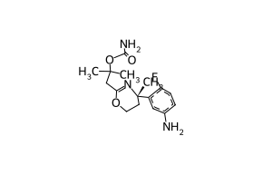 CC(C)(CC1=N[C@](C)(c2cc(N)ccc2F)CCO1)OC(N)=O